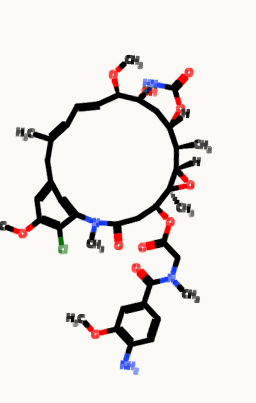 COc1cc(C(=O)N(C)CC(=O)O[C@H]2CC(=O)N(C)c3cc(cc(OC)c3Cl)C/C(C)=C/C=C/[C@@H](OC)[C@@]3(O)C[C@H](OC(=O)N3)[C@@H](C)[C@@H]3O[C@@]23C)ccc1N